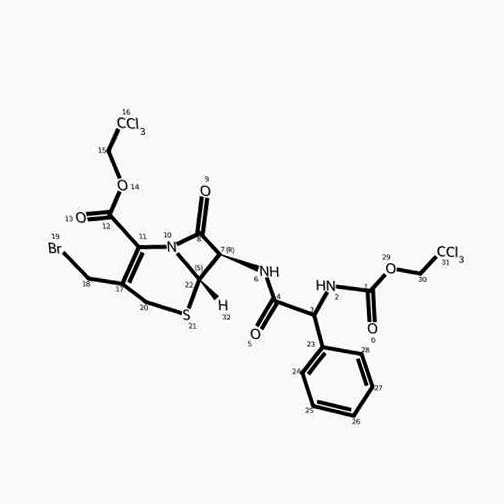 O=C(NC(C(=O)N[C@@H]1C(=O)N2C(C(=O)OCC(Cl)(Cl)Cl)=C(CBr)CS[C@@H]12)c1ccccc1)OCC(Cl)(Cl)Cl